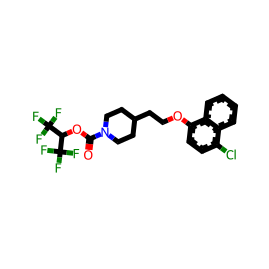 O=C(OC(C(F)(F)F)C(F)(F)F)N1CCC(CCOc2ccc(Cl)c3ccccc23)CC1